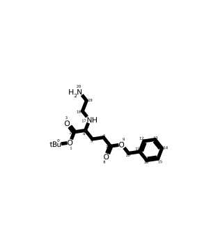 CC(C)(C)OC(=O)C(CCC(=O)OCc1ccccc1)NCCN